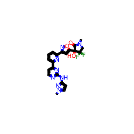 CN1CC(F)(F)C(O)(c2cc(-c3cccc(-c4ccnc(Nc5ccn(C)n5)n4)n3)no2)C1=O